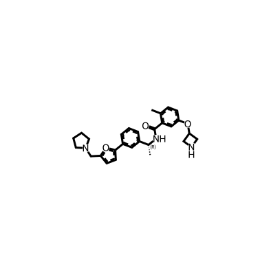 Cc1ccc(OC2CNC2)cc1C(=O)N[C@H](C)c1cccc(-c2ccc(CN3CCCC3)o2)c1